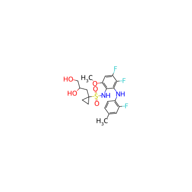 COc1cc(F)c(F)c(Nc2ccc(C)cc2F)c1NS(=O)(=O)C1(CC(O)CO)CC1